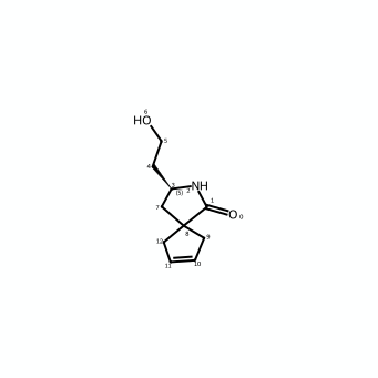 O=C1N[C@H](CCO)CC12CC=CC2